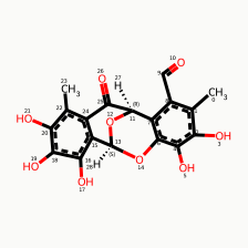 Cc1c(O)c(O)c2c(c1C=O)[C@H]1O[C@@H](O2)c2c(O)c(O)c(O)c(C)c2C1=O